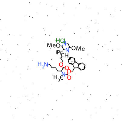 C=CCOC(=O)C(CCCCN)N(C)C(=O)OCC1c2ccccc2-c2ccccc21.COC1=N[C@H](C(C)C)C(OC)=NC1.Cl